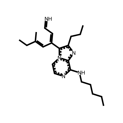 CCCCCNc1nccn2c(C(/C=C(\C)CC)=C/C=N)c(CCC)nc12